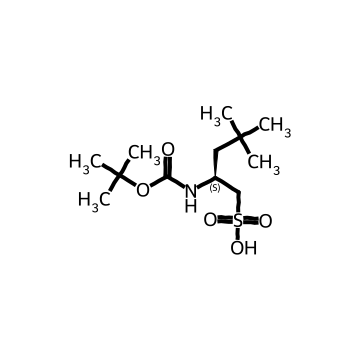 CC(C)(C)C[C@@H](CS(=O)(=O)O)NC(=O)OC(C)(C)C